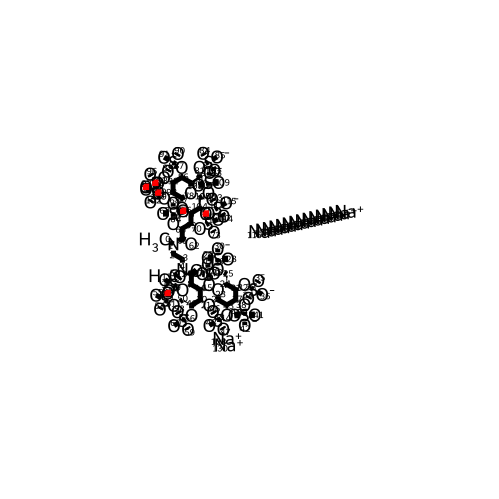 CN(CCN(C)C(=O)[C@H](OS(=O)(=O)[O-])[C@@H](OS(=O)(=O)[O-])[C@H](O[C@@H]1O[C@H](COS(=O)(=O)[O-])[C@H](OS(=O)(=O)[O-])[C@H](OS(=O)(=O)[O-])[C@H]1OS(=O)(=O)[O-])[C@@H](COS(=O)(=O)[O-])OS(=O)(=O)[O-])C(=O)[C@H](OS(=O)(=O)[O-])[C@@H](OS(=O)(=O)[O-])[C@H](O[C@@H]1O[C@H](COS(=O)(=O)[O-])[C@H](OS(=O)(=O)[O-])[C@H](OS(=O)(=O)[O-])[C@H]1OS(=O)(=O)[O-])[C@@H](COS(=O)(=O)[O-])OS(=O)(=O)[O-].[Na+].[Na+].[Na+].[Na+].[Na+].[Na+].[Na+].[Na+].[Na+].[Na+].[Na+].[Na+].[Na+].[Na+].[Na+].[Na+]